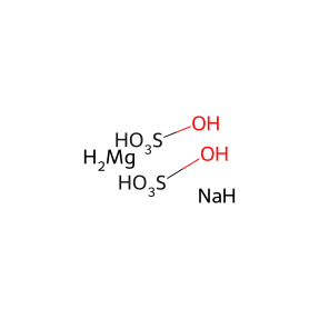 O=S(=O)(O)O.O=S(=O)(O)O.[MgH2].[NaH]